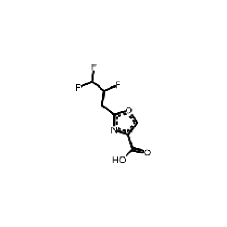 O=C(O)c1coc(CC(F)C(F)F)n1